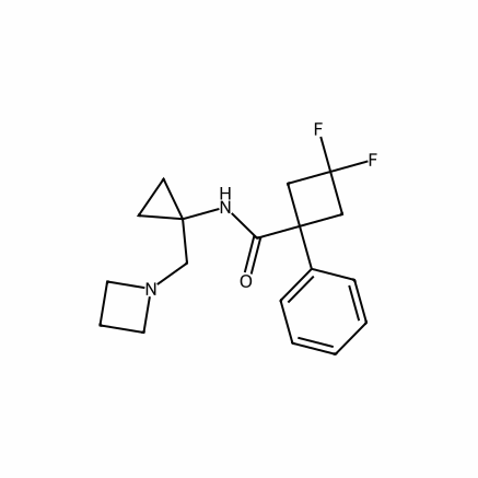 O=C(NC1(CN2CCC2)CC1)C1(c2ccccc2)CC(F)(F)C1